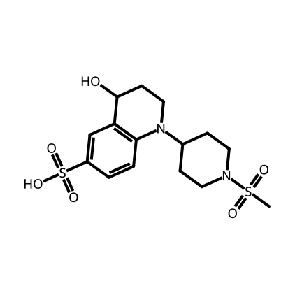 CS(=O)(=O)N1CCC(N2CCC(O)c3cc(S(=O)(=O)O)ccc32)CC1